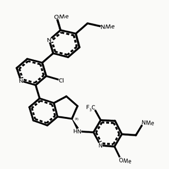 CNCc1ccc(-c2ccnc(-c3cccc4c3CC[C@H]4Nc3nc(OC)c(CNC)cc3C(F)(F)F)c2Cl)nc1OC